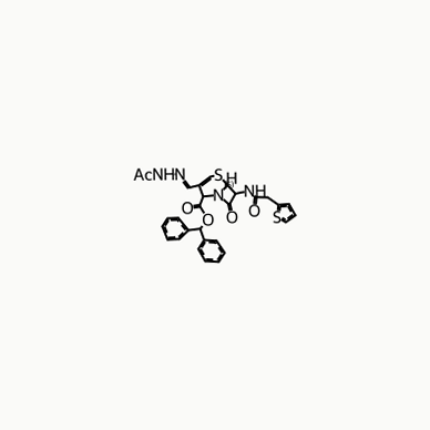 CC(=O)NN=CC1=CS[C@H]2C(NC(=O)Cc3cccs3)C(=O)N2C1C(=O)OC(c1ccccc1)c1ccccc1